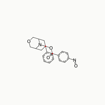 O=Nc1ccc(C(=O)OC2CC3COCC(C2)N3Cc2ccccc2)cc1